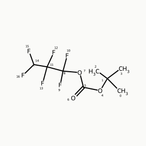 CC(C)(C)OC(=O)OC(F)(F)C(F)(F)[C](F)F